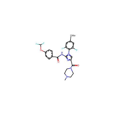 COc1cc(F)c(-n2cc(C(=O)N3CCN(C)CC3)nc2NC(=O)c2ccc(OC(F)F)cc2)c(F)c1